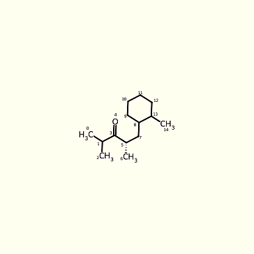 CC(C)C(=O)[C@@H](C)CC1CCCCC1C